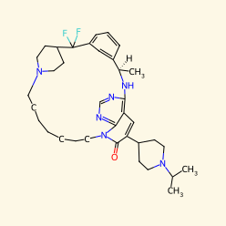 CC(C)N1CCC(c2cc3c4ncnc3n(c2=O)CCCCCCCN2CCC(CC2)C(F)(F)c2cccc(c2)[C@@H](C)N4)CC1